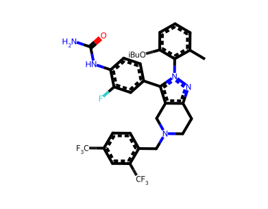 Cc1cccc(OCC(C)C)c1-n1nc2c(c1-c1ccc(NC(N)=O)c(F)c1)CN(Cc1ccc(C(F)(F)F)cc1C(F)(F)F)CC2